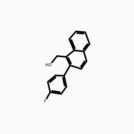 OCc1c(-c2ccc(F)cc2)ccc2ccccc12